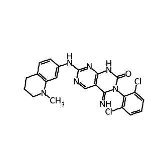 CN1CCCc2ccc(Nc3ncc4c(=N)n(-c5c(Cl)cccc5Cl)c(=O)[nH]c4n3)cc21